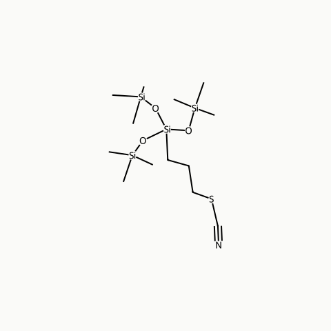 C[Si](C)(C)O[Si](CCCSC#N)(O[Si](C)(C)C)O[Si](C)(C)C